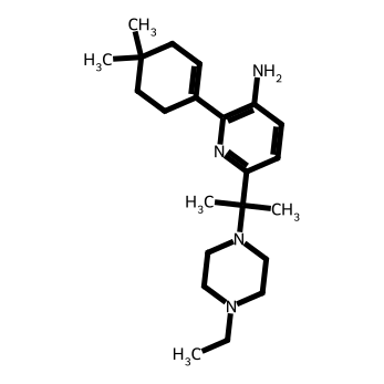 CCN1CCN(C(C)(C)c2ccc(N)c(C3=CCC(C)(C)CC3)n2)CC1